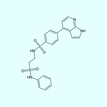 O=S(=O)(CCNS(=O)(=O)c1ccc(-c2ccnc3[nH]ccc23)cc1)Nc1ccccc1